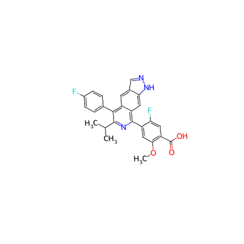 COc1cc(-c2nc(C(C)C)c(-c3ccc(F)cc3)c3cc4cn[nH]c4cc23)c(F)cc1C(=O)O